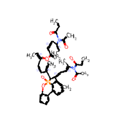 C=CC(=O)N(C(C)=O)/C(C)=C/C=C(\C=C)C(C(/C=C\C(=C/C)OC(=C)/C=C\C(=C/C)N(C(C)=O)C(=O)C=C)=C/C)P1(=O)Oc2ccccc2-c2ccccc21